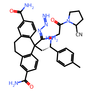 Cc1ccc([C@H](CC2(/C(N)=N/N=N)c3ccc(C(N)=O)cc3CCc3cc(C(N)=O)ccc32)NCC(=O)N2CCCC2C#N)cc1